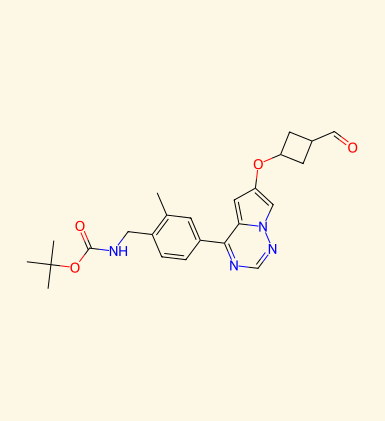 Cc1cc(-c2ncnn3cc(OC4CC(C=O)C4)cc23)ccc1CNC(=O)OC(C)(C)C